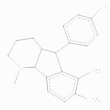 COc1ccc2c(c1OC)C(c1ccc(Cl)cc1)C1CCCN(C)C21